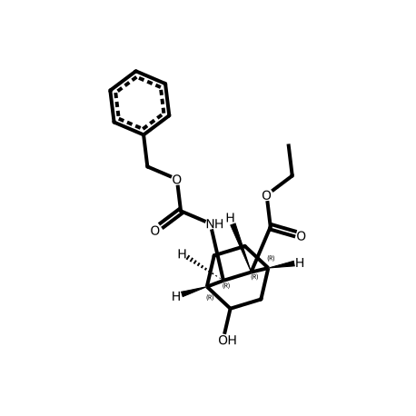 CCOC(=O)[C@@H]1[C@@H]2CC[C@@H](C(O)C2)[C@H]1NC(=O)OCc1ccccc1